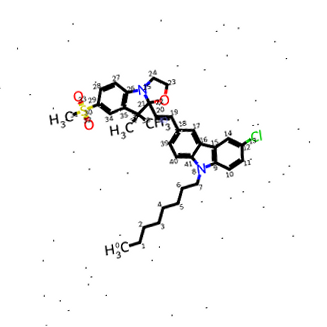 CCCCCCCCn1c2ccc(Cl)cc2c2cc(/C=C/C34OCCN3c3ccc(S(C)(=O)=O)cc3C4(C)C)ccc21